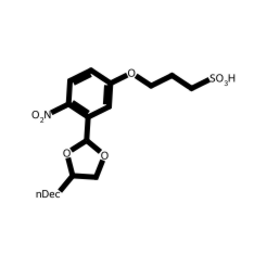 CCCCCCCCCCC1COC(c2cc(OCCCS(=O)(=O)O)ccc2[N+](=O)[O-])O1